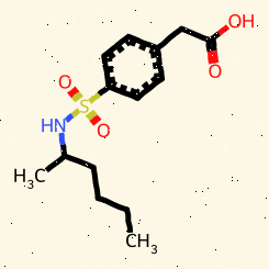 CCCCC(C)NS(=O)(=O)c1ccc(CC(=O)O)cc1